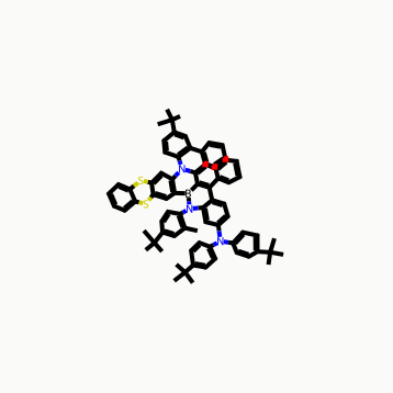 Cc1cc(C(C)(C)C)ccc1N1B2c3cc4c(cc3N(c3ccc(C(C)(C)C)cc3-c3ccccc3)c3cc5ccccc5c(c32)-c2ccc(N(c3ccc(C(C)(C)C)cc3)c3ccc(C(C)(C)C)cc3)cc21)Sc1ccccc1S4